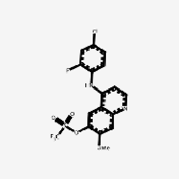 COc1cc2nccc(Nc3ccc(Cl)cc3F)c2cc1OS(=O)(=O)C(F)(F)F